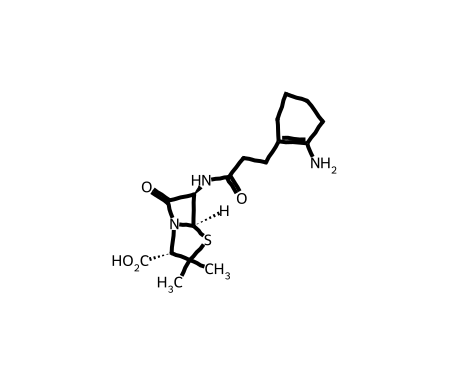 CC1(C)S[C@@H]2[C@H](NC(=O)CCC3=C(N)CCCC3)C(=O)N2[C@H]1C(=O)O